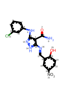 NC(=O)c1c(Nc2cccc(Cl)c2)n[nH]c1/N=C/c1cc([N+](=O)[O-])ccc1O